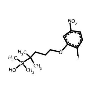 CC(C)(CCCOc1cc([N+](=O)[O-])ccc1I)[Si](C)(C)O